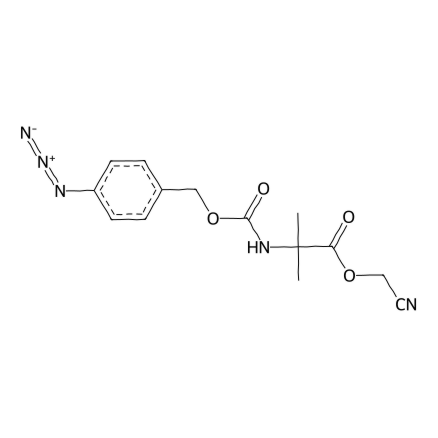 CC(C)(NC(=O)OCc1ccc(N=[N+]=[N-])cc1)C(=O)OCC#N